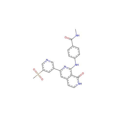 CNC(=O)c1ccc(Nc2nc(-c3cncc(S(C)(=O)=O)c3)cc3cc[nH]c(=O)c23)cc1